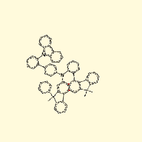 CC1(C)c2ccccc2-c2c(-c3ccccc3N(c3ccc(-c4ccccc4-n4c5ccccc5c5ccccc54)cc3)c3ccc4c(c3)C(C)(c3ccccc3)c3ccccc3-4)cccc21